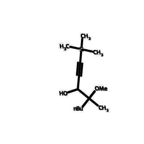 CCCCC(C)(OC)C(O)C#C[Si](C)(C)C